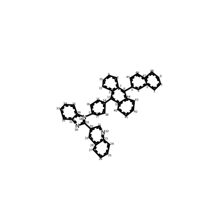 c1ccc2cc(-c3c4ccccc4c(-c4ccc(-n5c(-c6cnc7ccccc7c6)nc6ccccc65)cc4)c4ccccc34)ccc2c1